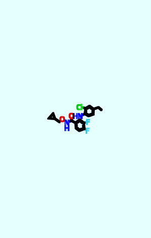 CCc1ccc(Nc2c(C(=O)NOCC3CC3)ccc(F)c2F)c(Cl)c1